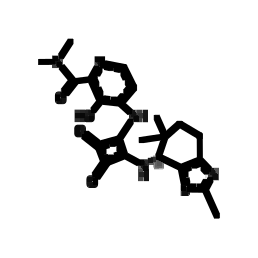 Cc1nc2c(s1)[C@H](Nc1c(Nc3ccnc(C(=O)N(C)C)c3O)c(=O)c1=O)C(C)(C)CC2